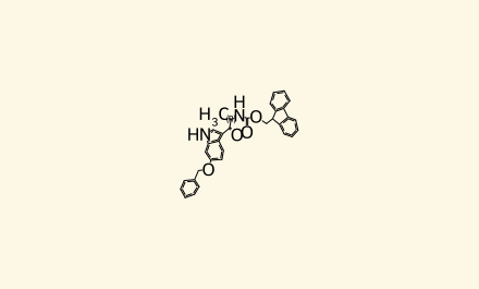 C[C@@H](NC(=O)OCC1c2ccccc2-c2ccccc21)C(=O)c1c[nH]c2cc(OCc3ccccc3)ccc12